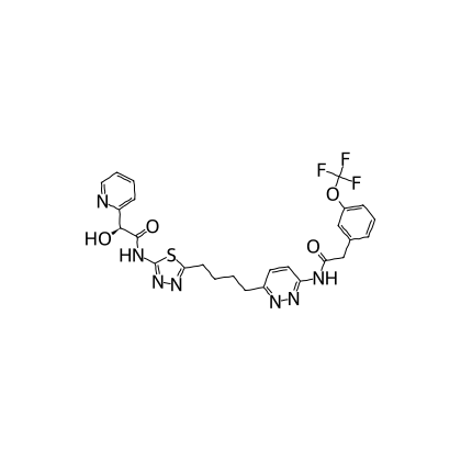 O=C(Cc1cccc(OC(F)(F)F)c1)Nc1ccc(CCCCc2nnc(NC(=O)[C@@H](O)c3ccccn3)s2)nn1